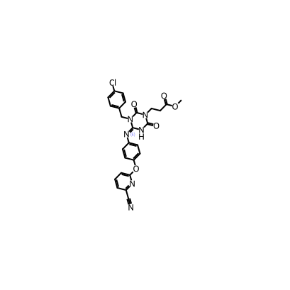 COC(=O)CCn1c(=O)[nH]/c(=N\c2ccc(Oc3cccc(C#N)n3)cc2)n(Cc2ccc(Cl)cc2)c1=O